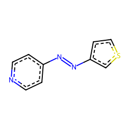 c1cc(/N=N/c2ccsc2)ccn1